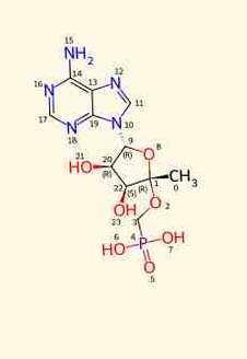 C[C@]1(OCP(=O)(O)O)O[C@@H](n2cnc3c(N)ncnc32)[C@H](O)[C@@H]1O